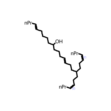 CCCC=CCCCCC(O)CCCC=CCCC(CC/C=C\CCC)CC/C=C\CCC